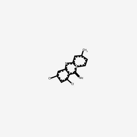 Cc1ccn2c(=N)c3c(Cl)cc(Cl)cc3nc2c1